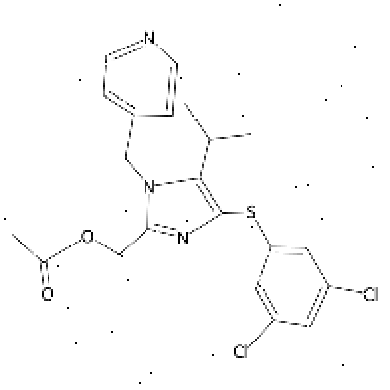 CC(=O)OCc1nc(Sc2cc(Cl)cc(Cl)c2)c(C(C)C)n1Cc1ccncc1